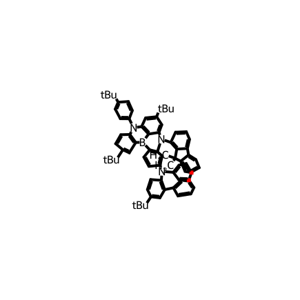 CC(C)(C)c1ccc(N2c3ccc(C(C)(C)C)cc3B3c4ccc(N(c5ccccc5)c5ccc(C(C)(C)C)cc5-c5ccccc5)cc4N(c4cccc5c4C(C)(C)c4ccccc4-5)c4cc(C(C)(C)C)cc2c43)cc1